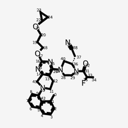 Cc1cccc2cccc(N3CCc4c(nc(OCCCOC5CC5)nc4N4CCN(C(=O)C(C)F)[C@@H](CC#N)C4)C3)c12